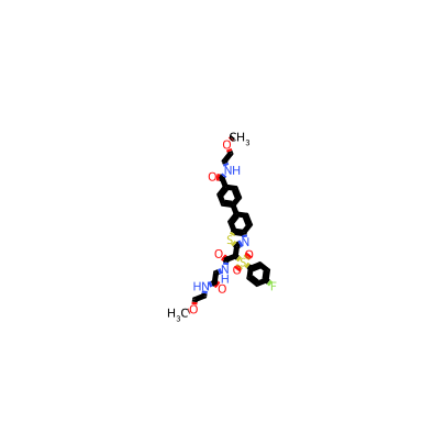 COCCNC(=O)CNC(=O)C(c1nc2ccc(-c3ccc(C(=O)NCCOC)cc3)cc2s1)S(=O)(=O)c1ccc(F)cc1